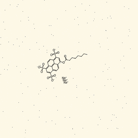 CCCCCCCC(=O)Oc1cc(S(=O)(=O)[O-])c2ccc3c(S(=O)(=O)[O-])cc(S(=O)(=O)[O-])c4ccc1c2c43.[Na+].[Na+].[Na+]